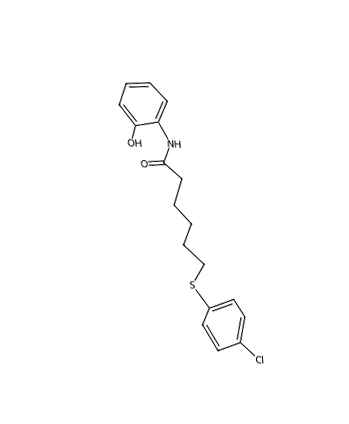 O=C(CCCCCSc1ccc(Cl)cc1)Nc1ccccc1O